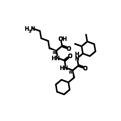 CC1CCCC(NC(=O)[C@@H](CC2CCCCC2)NC(=O)N[C@@H](CCCCN)C(=O)O)C1C